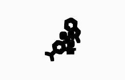 Cc1cc2ccccc2n1S(=O)(=O)c1ccc(C(C)C)cc1Br